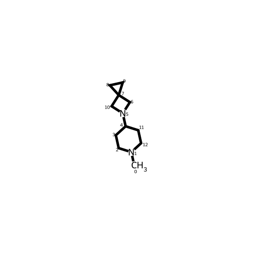 CN1CCC(N2CC3(CC3)C2)CC1